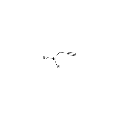 C#CCN(CC)C(C)C